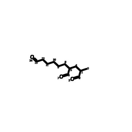 CC(C=O)CC(C=O)CCCCCC=O